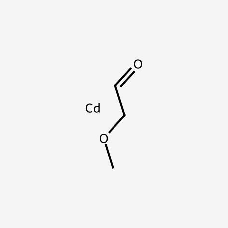 COCC=O.[Cd]